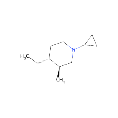 CC[C@@H]1CCN(C2CC2)C[C@H]1C